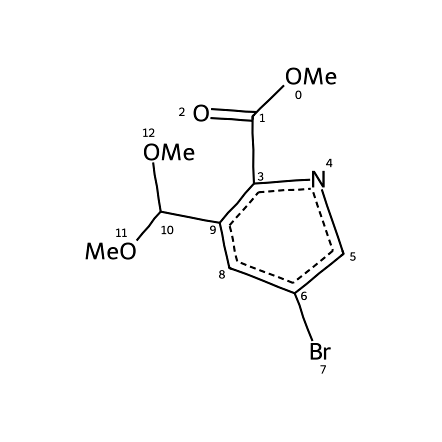 COC(=O)c1ncc(Br)cc1C(OC)OC